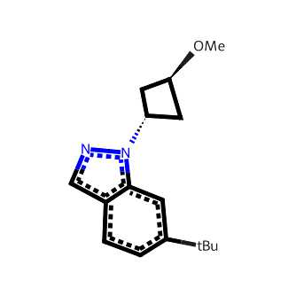 CO[C@H]1C[C@H](n2ncc3ccc(C(C)(C)C)cc32)C1